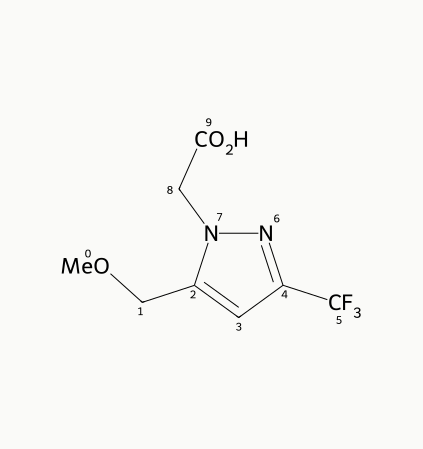 COCc1cc(C(F)(F)F)nn1CC(=O)O